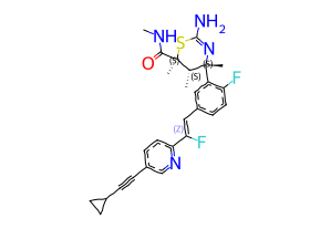 CNC(=O)[C@@]1(C)SC(N)=N[C@](C)(c2cc(/C=C(\F)c3ccc(C#CC4CC4)cn3)ccc2F)[C@@H]1C